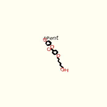 CCCCCOc1ccc(OC(=O)c2ccc(OCCCCCCO)cc2)cc1